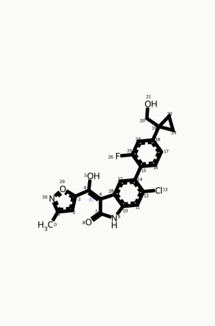 Cc1cc(/C(O)=C2\C(=O)Nc3cc(Cl)c(-c4ccc(C5(CO)CC5)cc4F)cc32)on1